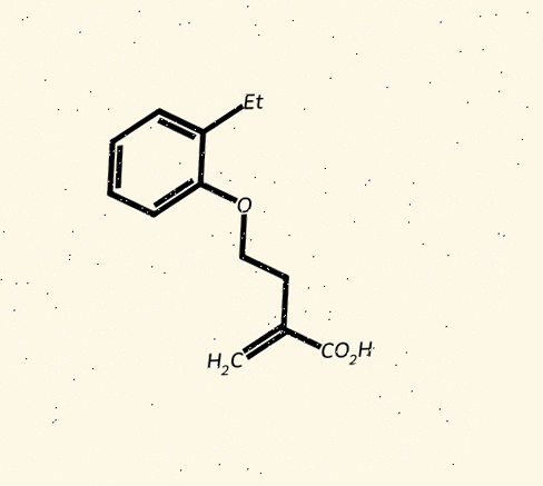 C=C(CCOc1ccccc1CC)C(=O)O